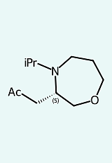 CC(=O)C[C@H]1COCCCN1C(C)C